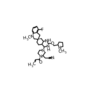 C=CC(=O)N1CCN(C2NC(OCC3CCCN3C)NC3C[C@]4(CCC32)Cc2c(F)cccc2N(C)C4)CC1CC#N